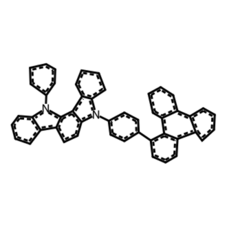 c1ccc(-n2c3ccccc3c3ccc4c(c5ccccc5n4-c4ccc(-c5cccc6c7ccccc7c7ccccc7c56)cc4)c32)cc1